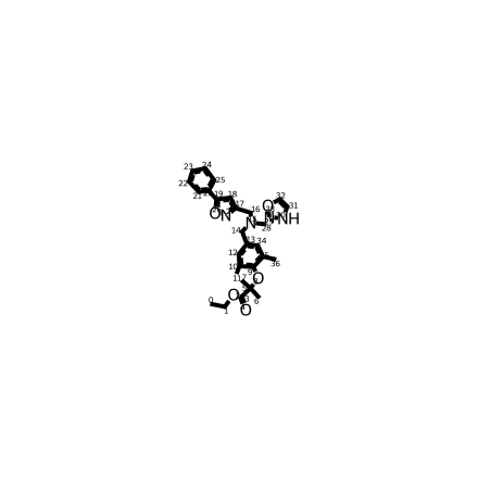 CCOC(=O)C(C)(C)Oc1c(C)cc(CN(Cc2cc(-c3ccccc3)on2)CN2NC=CO2)cc1C